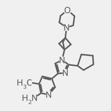 Cc1cc(-c2cn(C34CC(N5CCOCC5)(C3)C4)c(C3CCCC3)n2)cnc1N